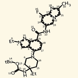 CCn1cc2c(N3CCC(CC)(NC(=O)OC(C)(C)C)CC3)ccc(C(=O)Nc3cc(F)c4nc(C)cn4c3)c2n1